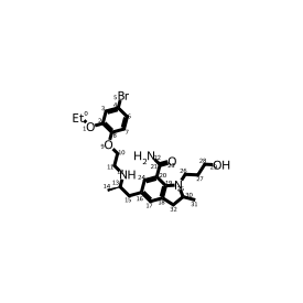 CCOc1cc(Br)ccc1OCCN[C@H](C)Cc1cc2c(c(C(N)=O)c1)N(CCCO)C(C)C2